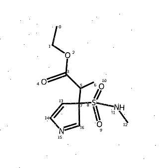 CCOC(=O)C(C)C1(S(=O)(=O)NC)C=CN=C1